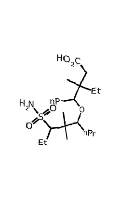 CCCC(OC(CCC)C(C)(C)C(CC)S(N)(=O)=O)C(C)(CC)CC(=O)O